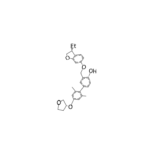 CC[C@@H]1COc2cc(OCc3cc(-c4c(C)cc(O[C@@H]5CCOC5)cc4C)ccc3O)ccc21